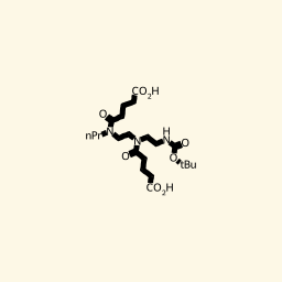 CCCN(CCN(CCNC(=O)OC(C)(C)C)C(=O)CCCC(=O)O)C(=O)CCCC(=O)O